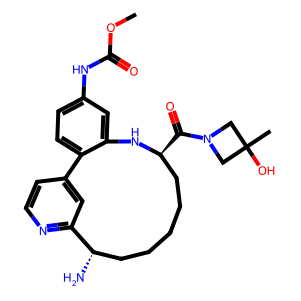 COC(=O)Nc1ccc2c(c1)N[C@@H](C(=O)N1CC(C)(O)C1)CCCCC[C@H](N)c1cc-2ccn1